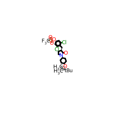 CC(C)(C)[Si](C)(C)O[C@H]1CC[C@H](N2CC[C@@H](Cc3c(Cl)cc(OS(=O)(=O)C(F)(F)F)cc3Cl)C2=O)CC1